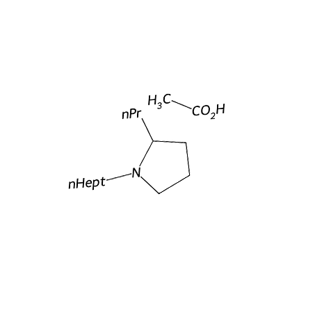 CC(=O)O.CCCCCCCN1CCCC1CCC